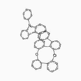 c1ccc(-c2cccc3c2-c2cc(-c4cccc5c4c4ccccc4n5-c4ccccc4)ccc2Oc2ccccc2-c2ccccc2O3)cc1